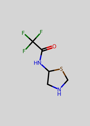 O=C(NC1CNCS1)C(F)(F)F